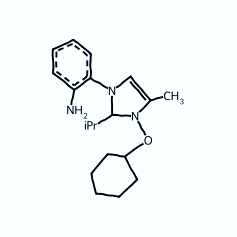 CC1=CN(c2ccccc2N)C(C(C)C)N1OC1CCCCC1